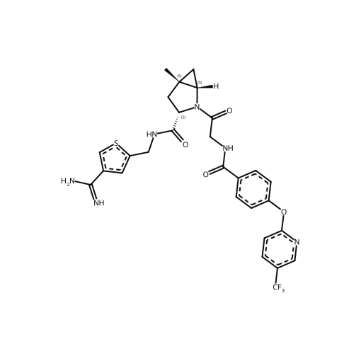 C[C@@]12C[C@@H]1N(C(=O)CNC(=O)c1ccc(Oc3ccc(C(F)(F)F)cn3)cc1)[C@H](C(=O)NCc1cc(C(=N)N)cs1)C2